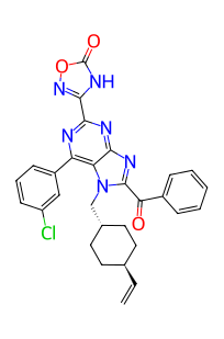 C=C[C@H]1CC[C@H](Cn2c(C(=O)c3ccccc3)nc3nc(-c4noc(=O)[nH]4)nc(-c4cccc(Cl)c4)c32)CC1